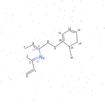 C=C/C(C)=N/C(=C\C)CCC1=CC=CCC1C